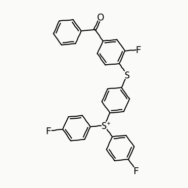 O=C(c1ccccc1)c1ccc(Sc2ccc([S+](c3ccc(F)cc3)c3ccc(F)cc3)cc2)c(F)c1